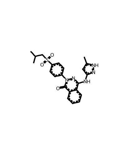 Cc1cc(Nc2nn(-c3ccc(S(=O)(=O)CC(C)C)cc3)c(=O)c3ccccc23)n[nH]1